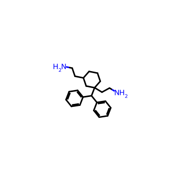 NCCC1CCCC(CCN)(C(c2ccccc2)c2ccccc2)C1